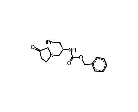 CC(C)C[C@H](CN1CCC(=O)C1)NC(=O)OCc1ccccc1